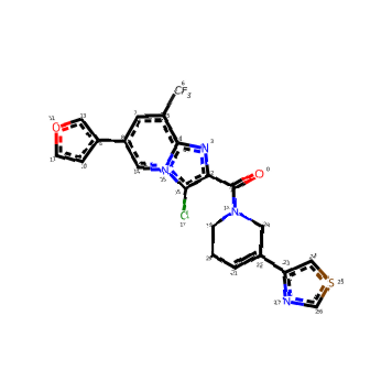 O=C(c1nc2c(C(F)(F)F)cc(-c3ccoc3)cn2c1Cl)N1CCC=C(c2cscn2)C1